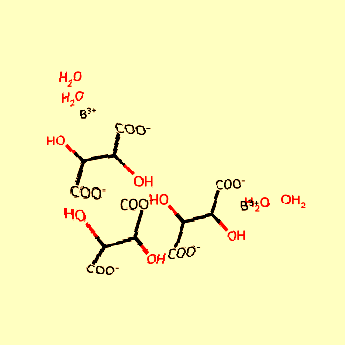 O.O.O.O.O=C([O-])C(O)C(O)C(=O)[O-].O=C([O-])C(O)C(O)C(=O)[O-].O=C([O-])C(O)C(O)C(=O)[O-].[B+3].[B+3]